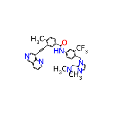 Cc1ccc(C(=O)Nc2ccc(Cn3ccnc3CN(C)C)c(C(F)(F)F)c2)cc1C#Cc1cncc2cccnc12